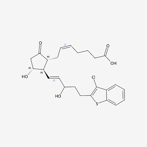 O=C(O)CCC/C=C\C[C@H]1C(=O)C[C@@H](O)[C@@H]1/C=C/C(O)CCc1sc2ccccc2c1Cl